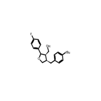 CC(C)(C)c1ccc(C[C@H]2COC(c3ccc(F)cc3)[C@H]2CO)cc1